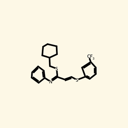 FC(F)(F)c1cccc(SC=CC(=Nc2ccccc2)SCC2CCCCC2)c1